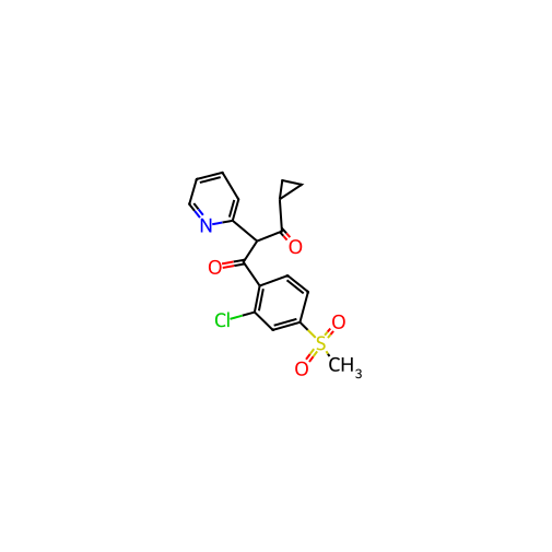 CS(=O)(=O)c1ccc(C(=O)C(C(=O)C2CC2)c2ccccn2)c(Cl)c1